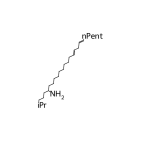 CCCCCC=CCC=CCCCCCCCCCC(N)CCCC(C)C